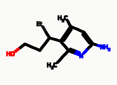 CCC(CCO)c1c(C)cc(N)nc1C